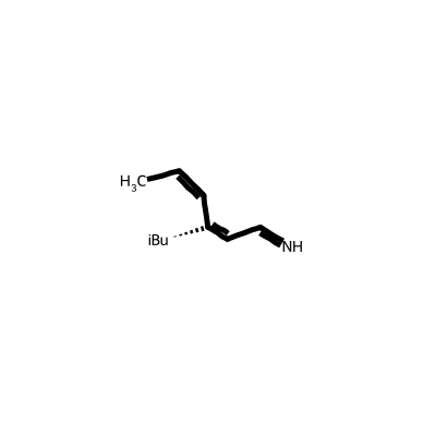 C/C=C\C(=C/C=N)[C@@H](C)CC